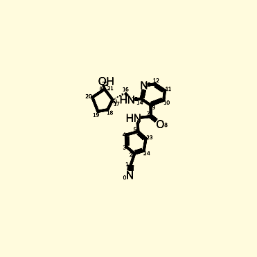 N#Cc1ccc(NC(=O)c2cccnc2NC[C@@H]2CCC[C@H]2O)cc1